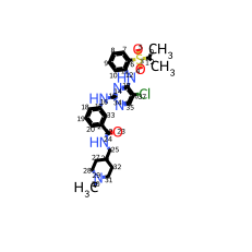 CC(C)S(=O)(=O)c1ccccc1Nc1nc(Nc2cccc(C(=O)NCC3CCN(C)CC3)c2)ncc1Cl